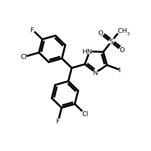 CS(=O)(=O)c1[nH]c(C(c2ccc(F)c(Cl)c2)c2ccc(F)c(Cl)c2)nc1I